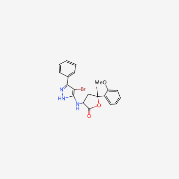 COc1ccccc1C1(C)CC(Nc2[nH]nc(-c3ccccc3)c2Br)C(=O)O1